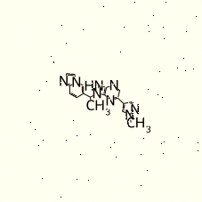 C[C@@H](c1ccc2nccn2c1)n1[nH]c2ncc(-c3cnn(C)c3)nc21